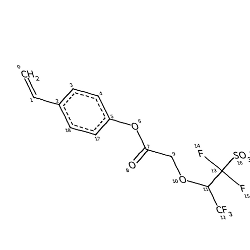 C=Cc1ccc(OC(=O)COC(C(F)(F)F)C(F)(F)S(=O)(=O)O)cc1